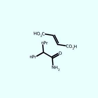 CCCC(CCC)C(N)=O.O=C(O)/C=C/C(=O)O